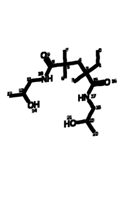 CCC(C)(CC(C)(C)C(=O)NCC(C)O)C(=O)NCC(C)O